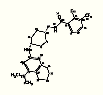 CN(C)c1nc(N[C@H]2CC[C@@H](CNC(=O)c3cccc(C(F)(F)F)c3F)CC2)nc2c1CCCC2